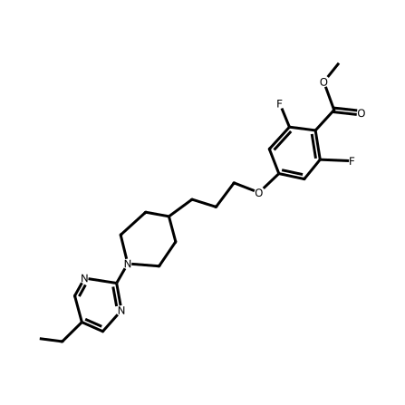 CCc1cnc(N2CCC(CCCOc3cc(F)c(C(=O)OC)c(F)c3)CC2)nc1